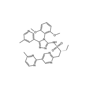 CC[C@H](Cc1ncc(-c2nccc(C)n2)cn1)S(=O)(=O)Nc1nnc(-c2cncc(C)c2)n1-c1c(OC)cccc1OC